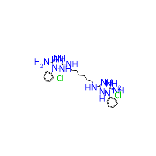 N=C(NCCCCCCNC(=N)NN(C(=N)N)c1ccccc1Cl)NN(C(=N)N)c1ccccc1Cl